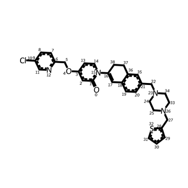 O=c1cc(OCc2ccc(Cl)cn2)ccn1C1=Cc2ccc(CN3CCN(Cc4cccs4)CC3)cc2CC1